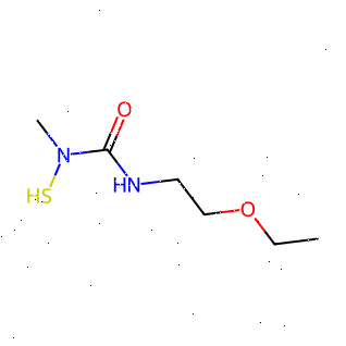 CCOCCNC(=O)N(C)S